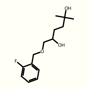 CC(C)(O)CCC(O)COCc1ccccc1F